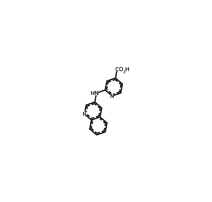 O=C(O)c1ccnc(Nc2cnc3ccccc3c2)c1